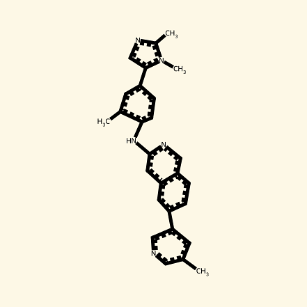 Cc1cncc(-c2ccc3cnc(Nc4ccc(-c5cnc(C)n5C)cc4C)cc3c2)c1